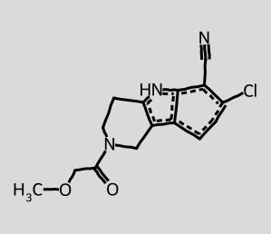 COCC(=O)N1CCc2[nH]c3c(C#N)c(Cl)ccc3c2C1